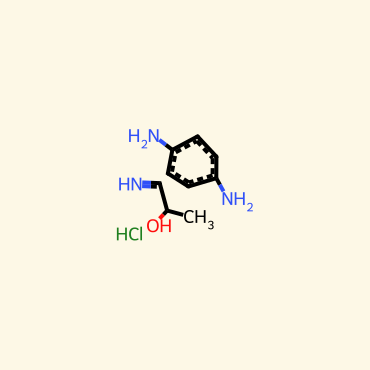 CC(O)C=N.Cl.Nc1ccc(N)cc1